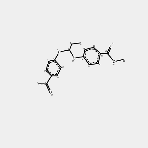 CCC(Oc1ccc(C(C)=O)cc1)Oc1ccc(C(=O)OC)cc1